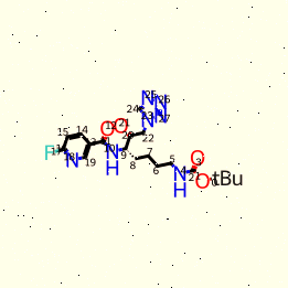 CC(C)(C)OC(=O)NCCCC[C@H](NC(=O)c1ccc(F)nc1)C(=O)Cn1cnnn1